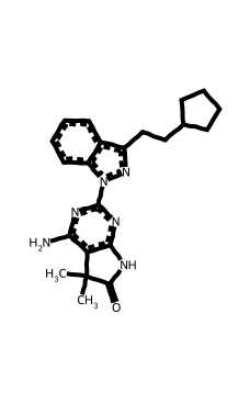 CC1(C)C(=O)Nc2nc(-n3nc(CCC4CCCC4)c4ccccc43)nc(N)c21